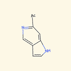 CC(=O)c1cc2[nH]ccc2cn1